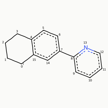 [C]1CCCc2ccc(-c3ccccn3)cc21